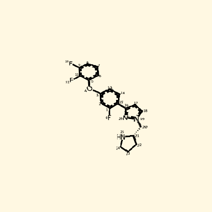 Fc1cc(Oc2cccc(F)c2F)ccc1-c1ccn(C[C@@H]2CCCN2)n1